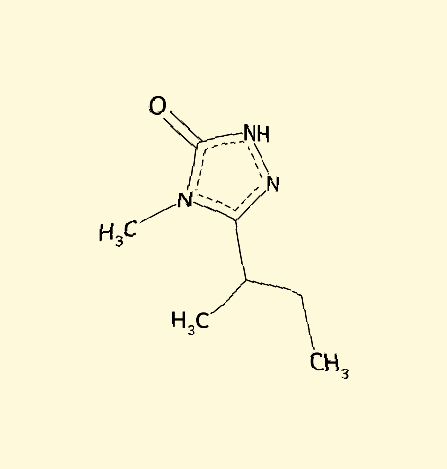 CCC(C)c1n[nH]c(=O)n1C